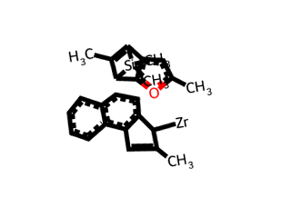 CC1=C2c3cc(C)oc3C1[Si]2(C)C.CC1=Cc2c(ccc3ccccc23)[CH]1[Zr]